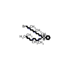 CC(C)=CCC/C(C)=C/CC/C(C)=C/C[C@@H](/C(C)=C/CC/C(C)=C/CC/C(C)=C/CBr)S(=O)(=O)c1ccccc1